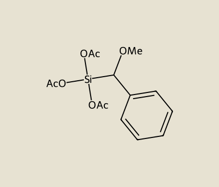 COC(c1ccccc1)[Si](OC(C)=O)(OC(C)=O)OC(C)=O